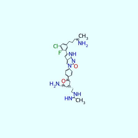 CC(=N)NCC[C@@H]1C[C@H](CN)O[C@@H](c2ccc(-n3cc4cc(-c5cc(CCC[C@H](C)N)cc(Cl)c5F)[nH]c4nc3=O)cc2)C1